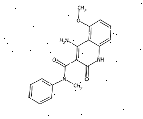 COc1cccc2[nH]c(=O)c(C(=O)N(C)c3ccccc3)c(N)c12